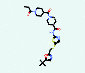 CCC(=O)N1CCC(C(=O)N2CCC(C(=O)Nc3ncc(SCc4ncc(C(C)(C)C)o4)s3)CC2)CC1